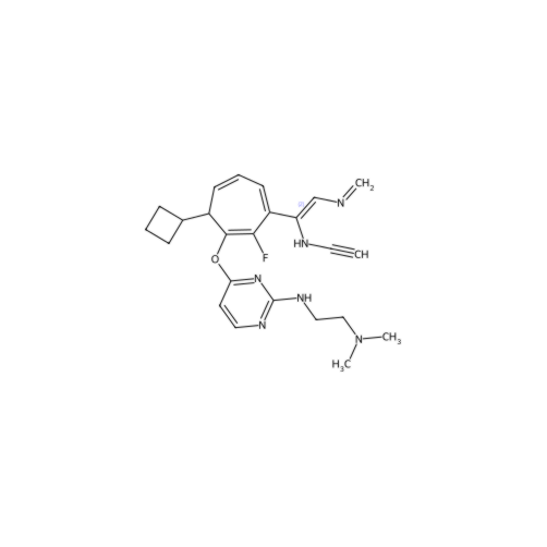 C#CN/C(=C\N=C)C1=CC=CC(C2CCC2)C(Oc2ccnc(NCCN(C)C)n2)=C1F